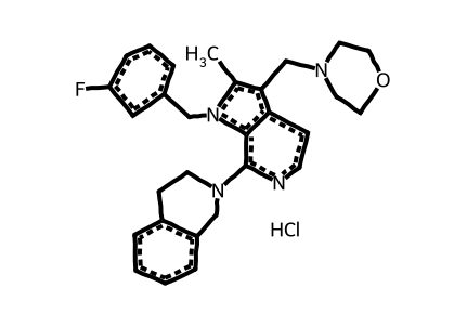 Cc1c(CN2CCOCC2)c2ccnc(N3CCc4ccccc4C3)c2n1Cc1cccc(F)c1.Cl